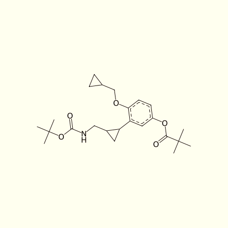 CC(C)(C)OC(=O)NCC1CC1c1cc(OC(=O)C(C)(C)C)ccc1OCC1CC1